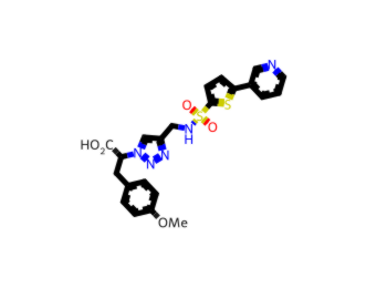 COc1ccc(CC(C(=O)O)n2cc(CNS(=O)(=O)c3ccc(-c4cccnc4)s3)nn2)cc1